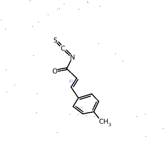 Cc1ccc(/C=C/C(=O)N=C=S)cc1